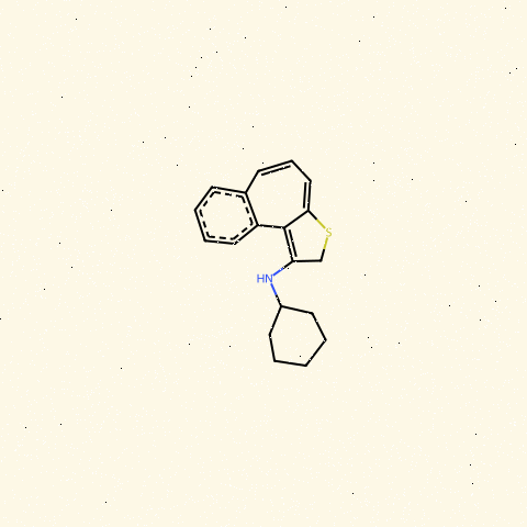 C1=Cc2ccccc2C2=C(NC3CCCCC3)CSC2=C1